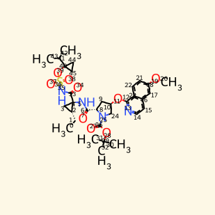 CC[C@@H]1C[C@]1(NC(=O)[C@@H]1C[C@@H](Oc2nccc3cc(OC)ccc23)CN1C(=O)OC(C)(C)C)C(=O)NS(=O)(=O)OC1(C(C)C)CC1